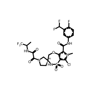 CC(NC(=O)C(=O)N1CC[C@]2(COc3c(c(Cl)n(C)c3C(=O)Nc3ccc(F)c(C(F)F)c3)S(=O)(=O)N2)C1)C(F)(F)F